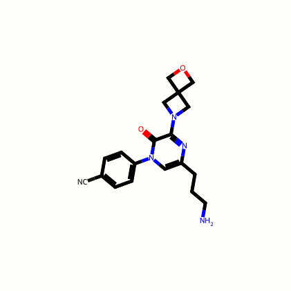 N#Cc1ccc(-n2cc(CCCN)nc(N3CC4(COC4)C3)c2=O)cc1